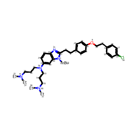 CCCCn1c(CCc2ccc(OCCc3ccc(Cl)cc3)cc2)nc2ccc(N(CCCN(CC)CC)CCCN(CC)CC)cc21